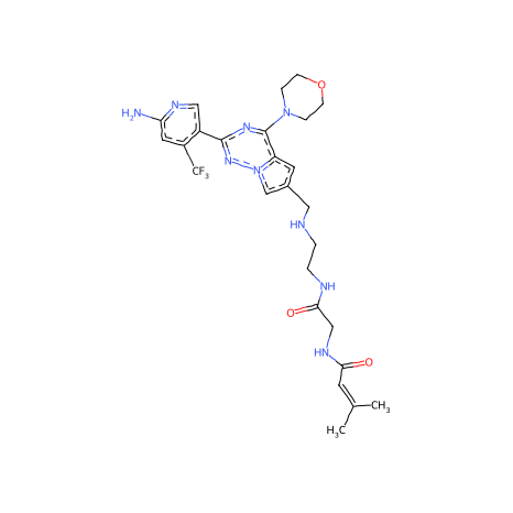 CC(C)=CC(=O)NCC(=O)NCCNCc1cc2c(N3CCOCC3)nc(-c3cnc(N)cc3C(F)(F)F)nn2c1